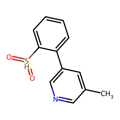 Cc1cncc(-c2ccccc2[SH](=O)=O)c1